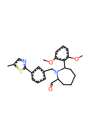 COc1cccc(OC)c1C1CCCCC(C=O)N1Cc1cccc(-c2ncc(C)s2)c1